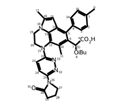 Cc1ccc(-c2c([C@H](OCC(C)C)C(=O)O)c(C)c3c4c2cc(C)n4CCN3c2ccc(N3CCCC3=O)nn2)cc1